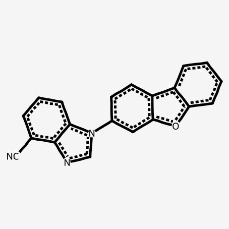 N#Cc1cccc2c1ncn2-c1ccc2c(c1)oc1ccccc12